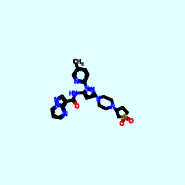 Cc1ccc(-n2nc(N3CCN(C4CCS(=O)(=O)C4)CC3)cc2NC(=O)c2cnn3cccnc23)nc1